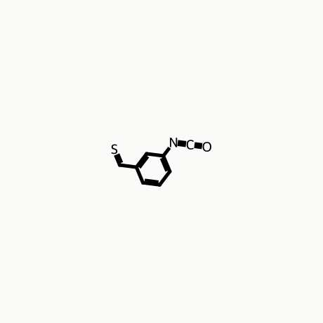 O=C=Nc1cccc(C=S)c1